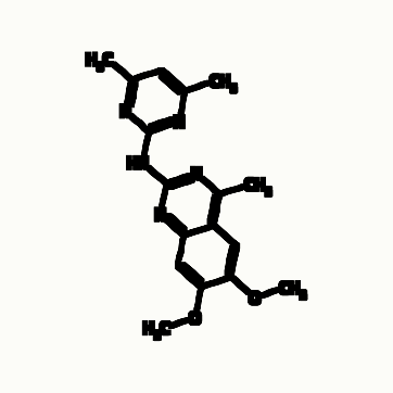 COc1cc2nc(Nc3nc(C)cc(C)n3)nc(C)c2cc1OC